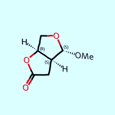 CO[C@H]1OC[C@@H]2OC(=O)C[C@H]12